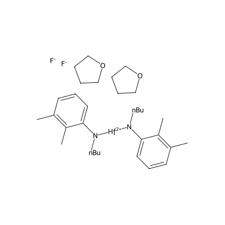 C1CCOC1.C1CCOC1.CCCC[N]([Hf+2][N](CCCC)c1cccc(C)c1C)c1cccc(C)c1C.[F-].[F-]